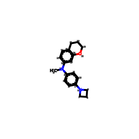 CN(c1ccc(N2CCC2)cc1)c1ccc2c(c1)OCCC2